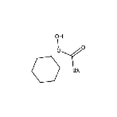 C1CCCCC1.CC(C)(C)C(=O)OO